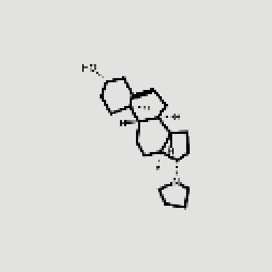 C[C@]12CC[C@H]3[C@@H](CC=C4C[C@@H](O)CC[C@@]43C)[C@@H]1CC[C@@H]2N1CCCC1